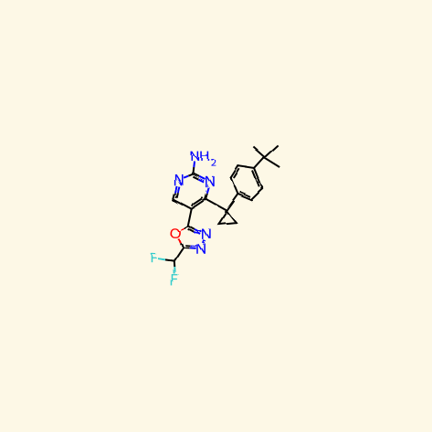 CC(C)(C)c1ccc(C2(c3nc(N)ncc3-c3nnc(C(F)F)o3)CC2)cc1